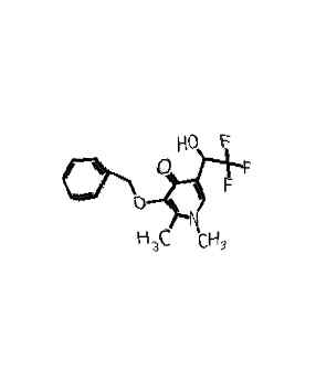 Cc1c(OCc2ccccc2)c(=O)c(C(O)C(F)(F)F)cn1C